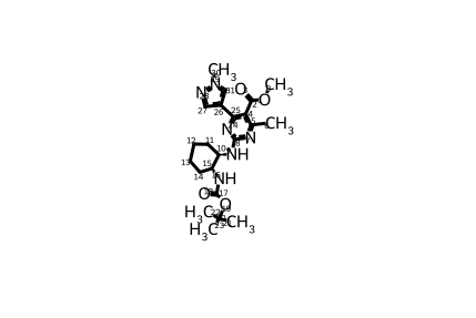 COC(=O)c1c(C)nc(N[C@@H]2CCCC[C@@H]2NC(=O)OC(C)(C)C)nc1-c1cnn(C)c1